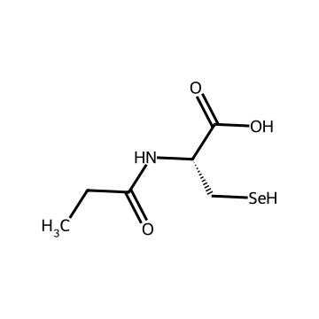 CCC(=O)N[C@@H](C[SeH])C(=O)O